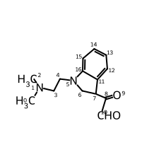 CN(C)CCN1CC(C(=O)C=O)c2ccccc21